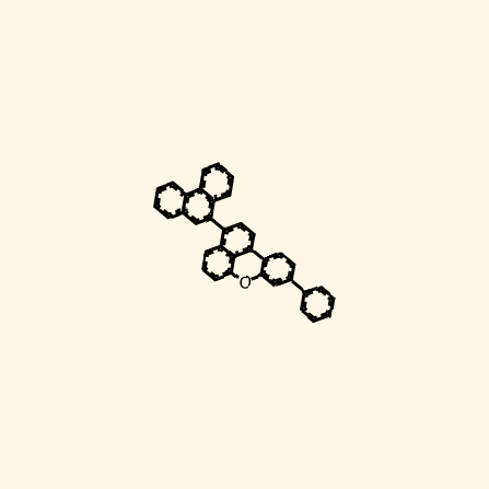 c1ccc(-c2ccc3c(c2)Oc2cccc4c(-c5cc6ccccc6c6ccccc56)ccc-3c24)cc1